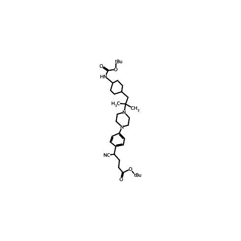 CC(C)(C)OC(=O)CCC(C#N)c1ccc(N2CCN(C(C)(C)CC3CCC(NC(=O)OC(C)(C)C)CC3)CC2)cc1